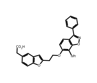 CCCc1c(OCCc2cc3cc(CC(=O)O)ccc3o2)ccc2c(-c3ccccc3)noc12